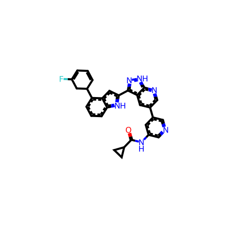 O=C(Nc1cncc(-c2cnc3[nH]nc(-c4cc5c(C6C=CC=C(F)C6)cccc5[nH]4)c3c2)c1)C1CC1